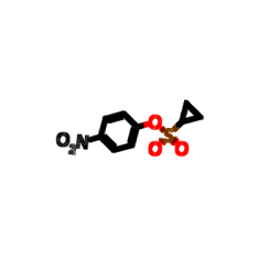 O=[N+]([O-])c1ccc(OS(=O)(=O)C2CC2)cc1